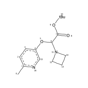 Cc1ccc(OC(C(=O)OC(C)(C)C)N2CCC2)cn1